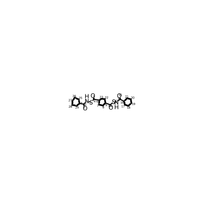 O=C(NSC(=O)c1ccc(C(=O)SNC(=O)c2ccccc2)cc1)c1ccccc1